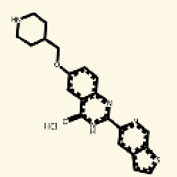 Cl.O=c1[nH]c(-c2cc3ccsc3cn2)nc2ccc(OCC3CCNCC3)cc12